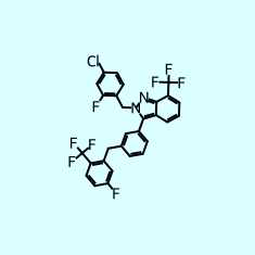 Fc1ccc(C(F)(F)F)c(Cc2cccc(-c3c4cccc(C(F)(F)F)c4nn3Cc3ccc(Cl)cc3F)c2)c1